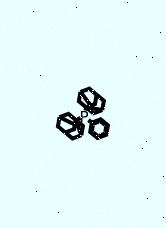 c1ccc(P(C23CC4CC(CC(C4)C2)C3)C23CC4CC(CC(C4)C2)C3)cc1